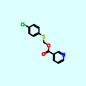 O=C(OCSc1ccc(Cl)cc1)c1cccnc1